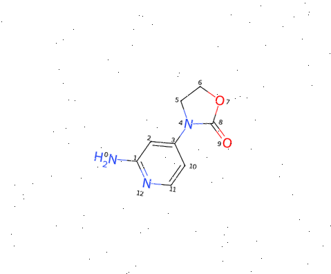 Nc1cc(N2CCOC2=O)ccn1